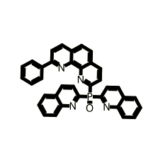 O=P(c1ccc2ccccc2n1)(c1ccc2ccccc2n1)c1ccc2ccc3ccc(-c4ccccc4)nc3c2n1